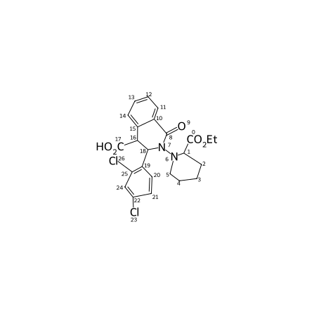 CCOC(=O)C1CCCCN1N1C(=O)c2ccccc2C(C(=O)O)C1c1ccc(Cl)cc1Cl